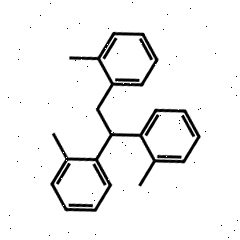 Cc1ccccc1C[C](c1ccccc1C)c1ccccc1C